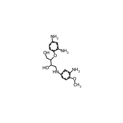 COc1ccc(NCC(O)C(CO)Oc2ccc(N)cc2N)cc1N